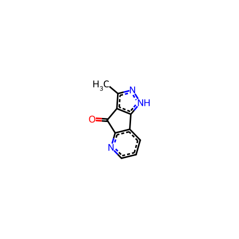 Cc1n[nH]c2c1C(=O)c1ncccc1-2